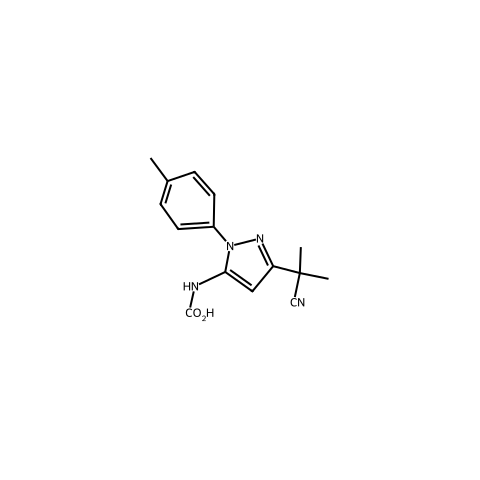 Cc1ccc(-n2nc(C(C)(C)C#N)cc2NC(=O)O)cc1